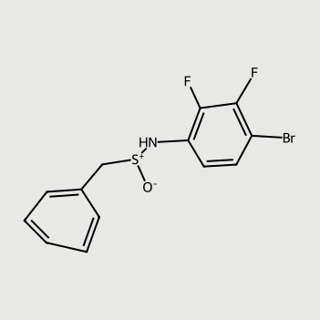 [O-][S+](Cc1ccccc1)Nc1ccc(Br)c(F)c1F